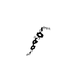 CCCCCC=COc1ccc(OC(=O)c2ccc(-c3ccc(OCC(C)CC)cc3)cc2)cc1